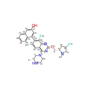 C[C@@H]1CN(c2nc(OC[C@@H]3C[C@@H](F)CN3C)nc3c(F)c(-c4cc(O)cc5ccccc45)c(F)cc23)CCN1